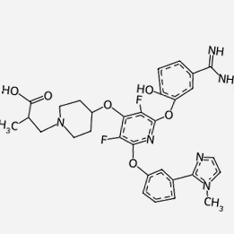 CC(CN1CCC(Oc2c(F)c(Oc3cccc(-c4nccn4C)c3)nc(Oc3cc(C(=N)N)ccc3O)c2F)CC1)C(=O)O